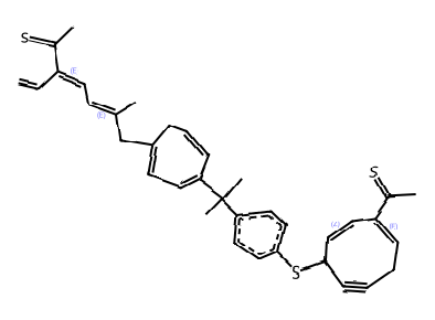 C=C/C(=C\C=C(/C)CC1=CC=C(C(C)(C)c2ccc(SC3C#CC/C=C(C(C)=S)\C=C/3)cc2)C=CC1)C(C)=S